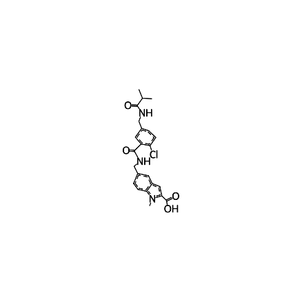 CC(C)C(=O)NCc1ccc(Cl)c(C(=O)NCc2ccc3c(c2)cc(C(=O)O)n3C)c1